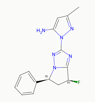 Cc1cc(N)n(-c2nc3n(n2)[C@H](c2ccccc2)C[C@@H]3F)n1